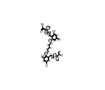 C=C(C)C(=O)ON=Cc1cc(C)cc(C)c1OCCCCCOc1cc(C)cc(C)c1C=NOC(=O)C(=C)C